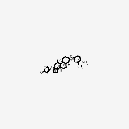 CC1O[C@@H](O[C@H]2CCC3(C)C4CCC5(C)[C@@H](C6=CC(=O)OC6)CC[C@]5(O)[C@@H]4CC[C@@H]3C2)CC[C@H]1N